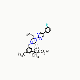 Cc1cc(CN2CCN(c3ncc(-c4cccc(F)c4)cn3)[C@H](CC(C)C)C2)cc(C(C)(C)CC(=O)O)c1